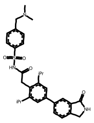 CC(C)c1cc(-c2ccc3c(c2)C(=O)NC3)cc(C(C)C)c1CC(=O)NS(=O)(=O)c1ccc(CN(C)C)cc1